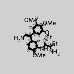 CCOc1cc(C(=CN)c2ccc(OC)c(NC(=O)C(N)CC)c2)cc(OC)c1OC